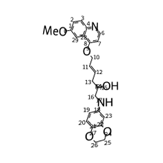 COc1ccc2nccc(OCC=CC[C@@H](O)CNc3ccc4c(c3)OCCO4)c2c1